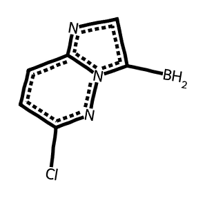 Bc1cnc2ccc(Cl)nn12